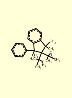 CC(C)(C)C1(C(C)(C)C)C(C)(C)c2ccccc2C1(C)c1ccccc1